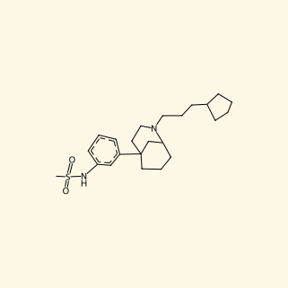 CS(=O)(=O)Nc1cccc(C23CCCC(C2)N(CCCC2CCCC2)CC3)c1